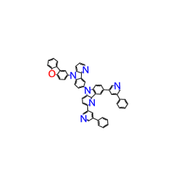 c1ccc(-c2cncc(-c3ccc4c(c3)c3nc(-c5cncc(-c6ccccc6)c5)ccc3n4-c3ccc4c(c3)c3ncccc3n4-c3ccc4oc5ccccc5c4c3)c2)cc1